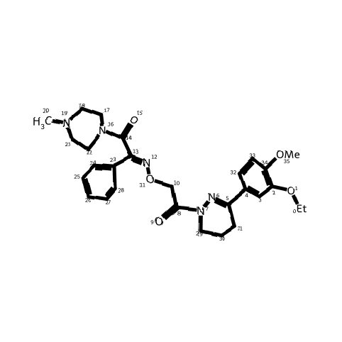 CCOc1cc(C2=NN(C(=O)CON=C(C(=O)N3CCN(C)CC3)c3ccccc3)CCC2)ccc1OC